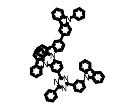 c1ccc(-c2nc(-c3cccc(-n4c5ccccc5c5ccccc54)c3)nc(-c3ccc(-n4c5ccccc5c5cc(-c6ccc7c(c6)c6ccccc6n7-c6ccccc6)ccc54)c(-n4c5ccccc5c5ccccc54)c3)n2)cc1